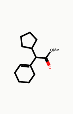 COC(=O)C(C1=CCCCC1)C1CCCC1